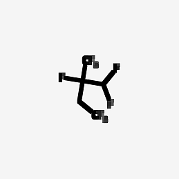 FC(F)C(F)(CC(F)(F)F)C(F)(F)F